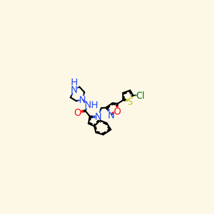 O=C(NN1CCNCC1)c1cc2ccccc2n1Cc1cc(-c2ccc(Cl)s2)on1